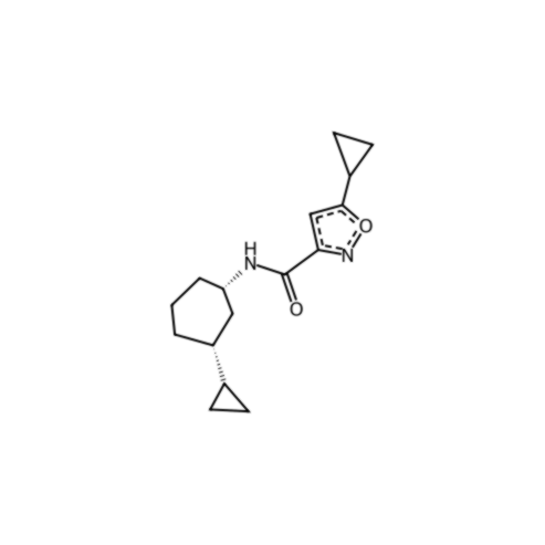 O=C(N[C@H]1CCC[C@@H](C2CC2)C1)c1cc(C2CC2)on1